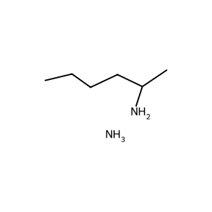 CCCCC(C)N.N